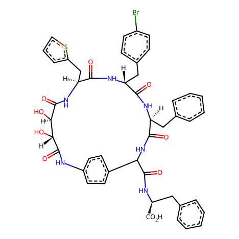 O=C(N[C@@H](Cc1ccccc1)C(=O)O)C1NC(=O)[C@H](Cc2ccccc2)NC(=O)[C@@H](Cc2ccc(Br)cc2)NC(=O)[C@H](Cc2cccs2)NC(=O)[C@H](O)[C@@H](O)C(=O)Nc2ccc1cc2